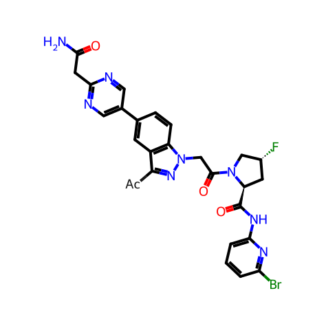 CC(=O)c1nn(CC(=O)N2C[C@H](F)C[C@H]2C(=O)Nc2cccc(Br)n2)c2ccc(-c3cnc(CC(N)=O)nc3)cc12